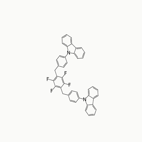 Fc1c(F)c(Cc2ccc(-n3c4ccccc4c4ccccc43)cc2)c(F)c(F)c1Cc1ccc(-n2c3ccccc3c3ccccc32)cc1